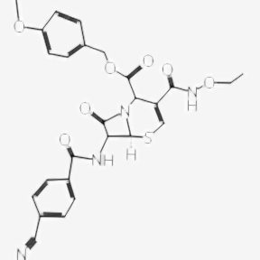 CCONC(=O)C1=CS[C@H]2C(NC(=O)c3ccc(C#N)cc3)C(=O)N2C1C(=O)OCc1ccc(OC)cc1